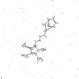 CC1=C(C)C(O)N(CCCCC2CC3C=CC2C3)C1=O